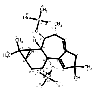 C[C@@H]1C=C2C[C@](C)(O)C=C2[C@@]2(O[Si](C)(C)C)[C@H](C)C[C@@H]3C([C@@H]2[C@@H]1O[Si](C)(C)C(C)(C)C)C3(C)C